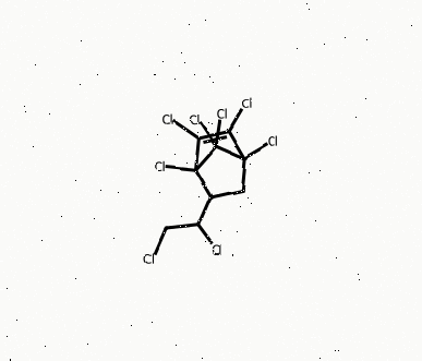 ClCC(Cl)C1CC2(Cl)C(Cl)=C(Cl)C1(Cl)C2(Cl)Cl